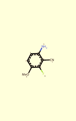 COc1ccc(N)c(C#N)c1F